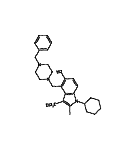 CCOC(=O)c1c(C)n(C2CCCCC2)c2ccc(O)c(CN3CCN(Cc4ccccc4)CC3)c12